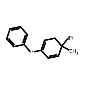 CC(C)C1(C)C=CC([I+]c2ccccc2)=CC1